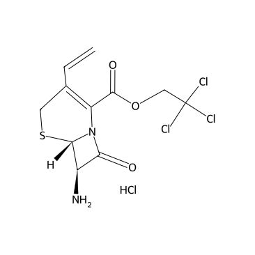 C=CC1=C(C(=O)OCC(Cl)(Cl)Cl)N2C(=O)[C@@H](N)[C@@H]2SC1.Cl